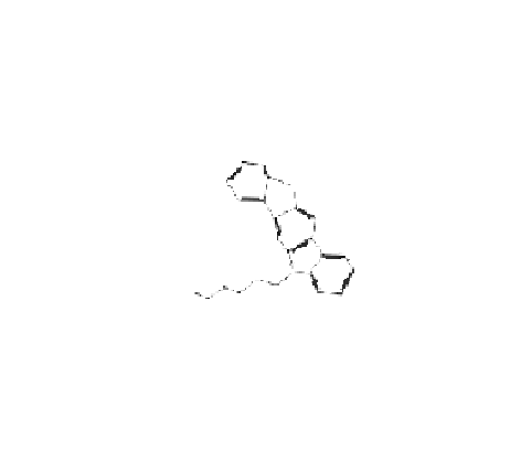 CCCCCCn1c2ccccc2c2cc3sc4ccccc4c3cc21